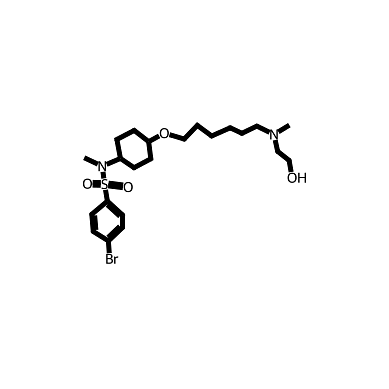 CN(CCO)CCCCCCOC1CCC(N(C)S(=O)(=O)c2ccc(Br)cc2)CC1